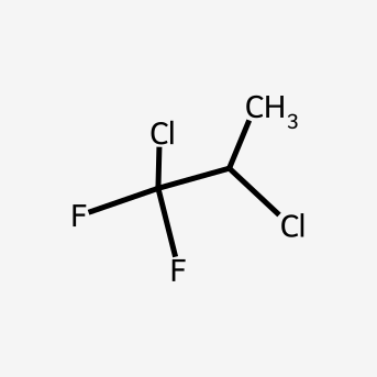 CC(Cl)C(F)(F)Cl